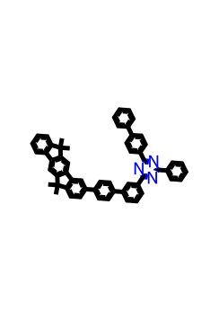 CC1(C)c2ccccc2-c2cc3c(cc21)-c1cc(-c2ccc(-c4cccc(-c5nc(-c6ccccc6)nc(-c6ccc(-c7ccccc7)cc6)n5)c4)cc2)ccc1C3(C)C